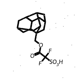 O=C(OCC12CC3CC4C5CC(CC41)CC2C5C3)C(F)(F)S(=O)(=O)O